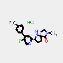 CN1CC[C@@]2(CC[C@H](c3cc(-c4ccc(C(F)(F)F)cc4)c(F)cn3)N2)C1=O.Cl